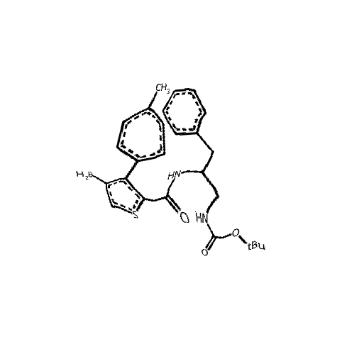 Bc1csc(C(=O)NC(CNC(=O)OC(C)(C)C)Cc2ccccc2)c1-c1ccc(C)cc1